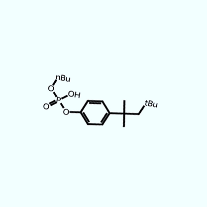 CCCCOP(=O)(O)Oc1ccc(C(C)(C)CC(C)(C)C)cc1